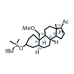 COC[C@]12CCC(O[Si](C)(C)C(C)(C)C)C[C@@H]1CC[C@H]1[C@@H]3CC[C@H](C(C)=O)[C@@]3(C)CC[C@@H]12